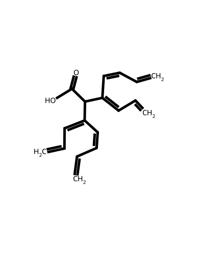 C=C/C=C\C(=C/C=C)C(C(=O)O)C(/C=C\C=C)=C/C=C